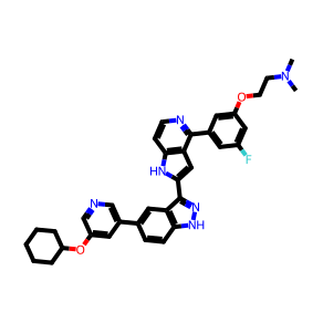 CN(C)CCOc1cc(F)cc(-c2nccc3[nH]c(-c4n[nH]c5ccc(-c6cncc(OC7CCCCC7)c6)cc45)cc23)c1